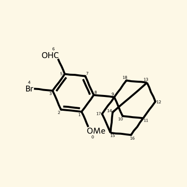 COc1cc(Br)c(C=O)cc1C12CC3CC(CC(C3)C1)C2